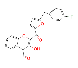 O=CC1C(O)=C(C(=O)c2ccc(Cc3ccc(F)cc3)o2)Oc2ccccc21